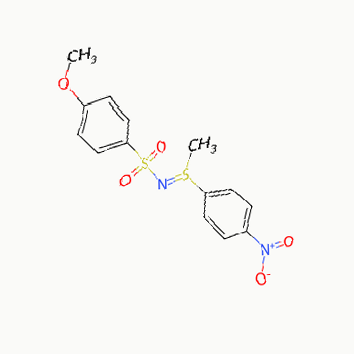 COc1ccc(S(=O)(=O)/N=S(\C)c2ccc([N+](=O)[O-])cc2)cc1